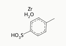 Cc1ccc(S(=O)(=O)O)cc1.O.[Zr]